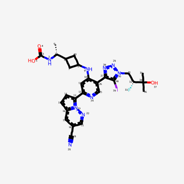 C[C@@H](NC(=O)O)C1CC(Nc2cc(-c3ccc4cc(C#N)cnn34)ncc2-c2nnn(C[C@@H](F)C(C)(C)O)c2I)C1